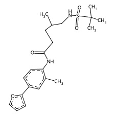 Cc1cc(-c2ccco2)ccc1NC(=O)CCC(C)CNS(=O)(=O)C(C)(C)C